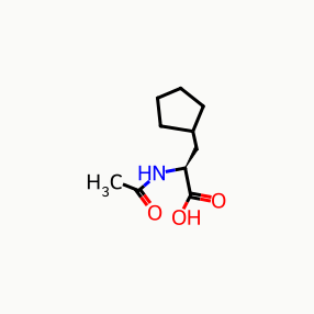 CC(=O)N[C@@H](CC1CCCC1)C(=O)O